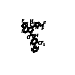 C[C@@]1(c2ccn(C(F)F)n2)C[C@@H](C(=O)Nc2cnc(-n3nccn3)c(C(F)(F)F)c2)c2cnc3cc(F)nn3c21